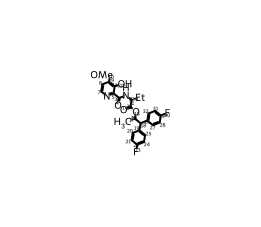 CC[C@H](NC(=O)c1nccc(OC)c1O)C(=O)O[C@@H](C)C(c1ccc(F)cc1)c1ccc(F)cc1